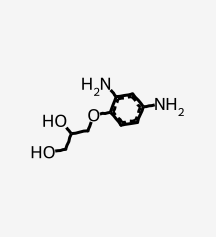 Nc1ccc(OCC(O)CO)c(N)c1